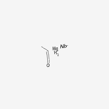 CC=O.[MgH2].[Nb]